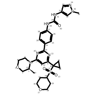 C[C@H]1COCCN1c1cc(C2(S(=O)(=O)C3CCOCC3)CC2)nc(-c2ccc(NC(=O)Nc3cnn(C)c3)cc2)n1